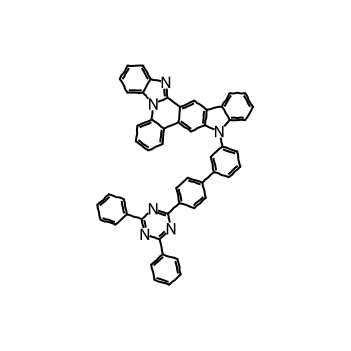 c1ccc(-c2nc(-c3ccccc3)nc(-c3ccc(-c4cccc(-n5c6ccccc6c6cc7c(cc65)c5ccccc5n5c6ccccc6nc75)c4)cc3)n2)cc1